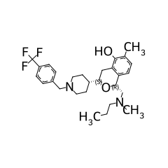 CCCN(C)C[C@@H]1O[C@H](C2CCN(Cc3ccc(C(F)(F)F)cc3)CC2)Cc2c1ccc(C)c2O